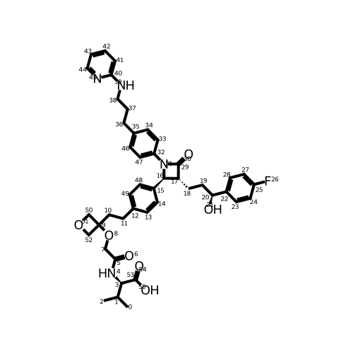 CC(C)[C@@H](NC(=O)COC1(CCc2ccc([C@@H]3[C@@H](CC[C@H](O)c4ccc(F)cc4)C(=O)N3c3ccc(CCCNc4ccccn4)cc3)cc2)COC1)C(=O)O